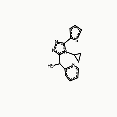 SC(c1ccccn1)c1nnc(-c2cccs2)n1C1CC1